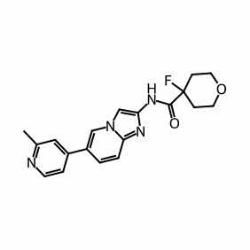 Cc1cc(-c2ccc3nc(NC(=O)C4(F)CCOCC4)cn3c2)ccn1